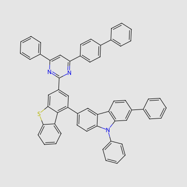 c1ccc(-c2ccc(-c3cc(-c4ccccc4)nc(-c4cc(-c5ccc6c(c5)c5ccc(-c7ccccc7)cc5n6-c5ccccc5)c5c(c4)sc4ccccc45)n3)cc2)cc1